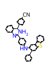 N#Cc1ccc(C(N)c2ccccc2/N=C/c2ccc(Nc3cc4c(cc3-c3ccccc3)sc3ccccc34)cc2)cc1